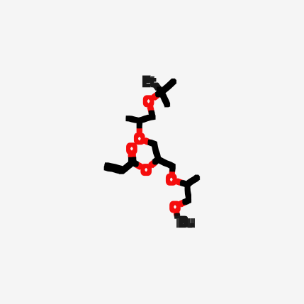 C=CC(=O)OC(COC(C)COC(C)CC)COC(C)COC(C)(C)CC